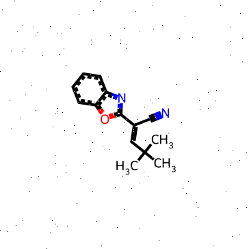 CC(C)(C)/C=C(\C#N)c1nc2ccccc2o1